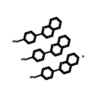 CCCCCCc1ccc(-c2ccc3ccccc3n2)cc1.CCCCCCc1ccc(-c2ccc3ccccc3n2)cc1.CCCCCCc1ccc(-c2ccc3ccccc3n2)cc1.[Ir]